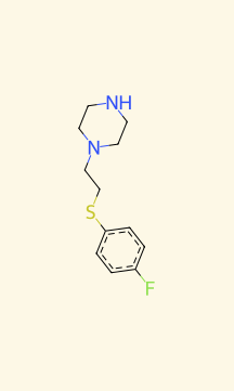 Fc1ccc(SCCN2CCNCC2)cc1